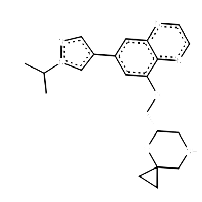 CC(C)n1cc(-c2cc(OC[C@@H]3CNCC4(CC4)O3)c3nccnc3c2)cn1